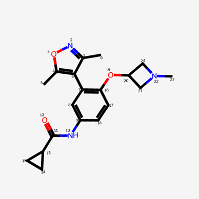 Cc1noc(C)c1-c1cc(NC(=O)C2CC2)ccc1OC1CN(C)C1